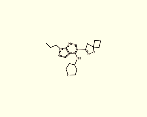 CCCn1ncc2c(NC3CCOCC3)c(C3=NOC4(CCC4)C3)cnc21